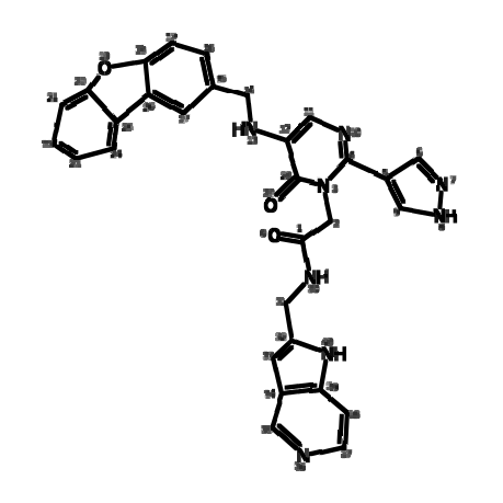 O=C(Cn1c(-c2cn[nH]c2)ncc(NCc2ccc3oc4ccccc4c3c2)c1=O)NCc1cc2cnccc2[nH]1